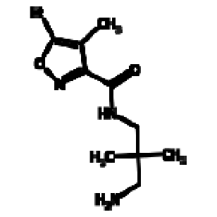 CCc1onc(C(=O)NCC(C)(C)CN)c1C